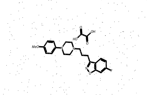 COc1ccc(N2CCN(CCCc3noc4cc(F)ccc34)CC2)cc1.O=C(O)C(=O)O